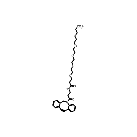 O=C(O)CCOCCOCCOCCOCCOCCC(=O)NCCC(=O)N1Cc2ccccc2C#Cc2ccccc21